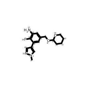 Cn1cc(-c2cc(COC3CCCCO3)cc(N)c2F)cn1